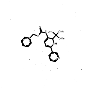 COC(C=O)(OC)C1NC(c2cccnc2)=CC=C1NC(=O)OCc1ccccc1